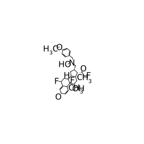 COc1ccc(CN(O)C[C@@H]2CC3[C@@H]4C[C@H](F)C5=CC(=O)C=C[C@]5(C)[C@@]4(F)[C@@H](O)C[C@]3(C)[C@H]2C(=O)CF)cc1